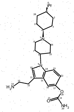 CC(C)[C@H]1CC[C@@H](N2CCC(n3cc(CCN)c4cc(OC(N)=O)ccc43)CC2)CC1